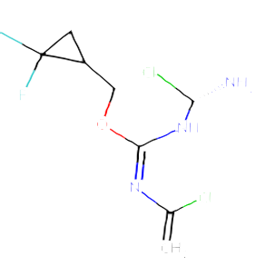 C=C(Cl)/N=C(\N[C@@H](N)Cl)OCC1CC1(F)F